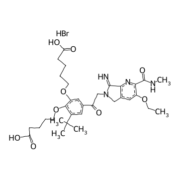 Br.CCOc1cc2c(nc1C(=O)NC)C(=N)N(CC(=O)c1cc(OCCCCC(=O)O)c(OCCCCC(=O)O)c(C(C)(C)C)c1)C2